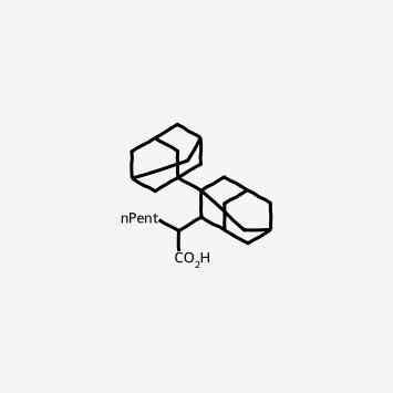 CCCCCC(C(=O)O)C1C2CC3CC(C2)CC1(C12CC4CC(CC(C4)C1)C2)C3